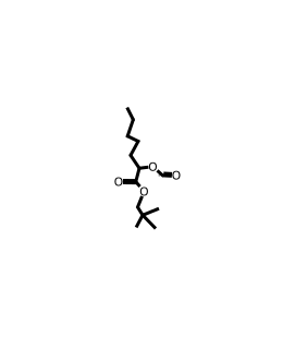 CCCCCC(O[C]=O)C(=O)OCC(C)(C)C